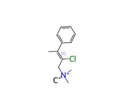 [CH2-][N+](C)(C)C/C(Cl)=C(\C)c1ccccc1